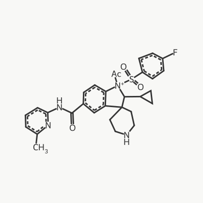 CC(=O)[N+]1(S(=O)(=O)c2ccc(F)cc2)c2ccc(C(=O)Nc3cccc(C)n3)cc2C2(CCNCC2)C1C1CC1